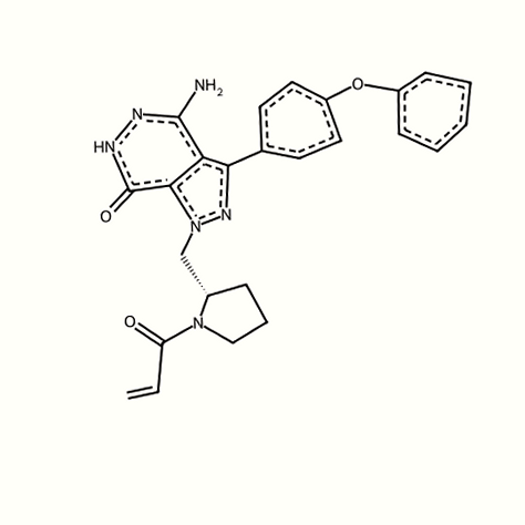 C=CC(=O)N1CCC[C@H]1Cn1nc(-c2ccc(Oc3ccccc3)cc2)c2c(N)n[nH]c(=O)c21